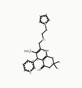 CCOC(=O)C1=C(COCCn2cccc2)NC2=C(C(=O)CC(C)(C)C2)C1c1cccnc1